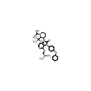 CN(C)C=Nc1nccc2c1n(-c1ccc(Oc3ccccc3)cc1)c(=O)n2C1CCCN(C(=O)O)C1C(C)(C)C